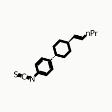 CCCC=C[C@H]1CC[C@H](c2ccc(N=C=S)cc2)CC1